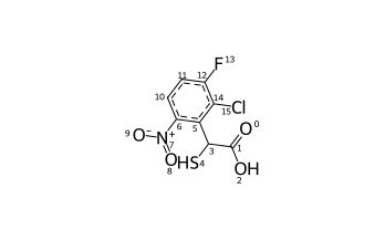 O=C(O)C(S)c1c([N+](=O)[O-])ccc(F)c1Cl